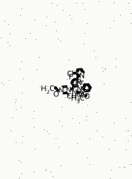 C=CC(=O)N1CCN(c2nc(=O)n(-c3c(C(C)C)cccc3S(C)(=O)=O)c3nc(-c4ncccc4Cl)c(F)cc23)[C@@H](C)C1